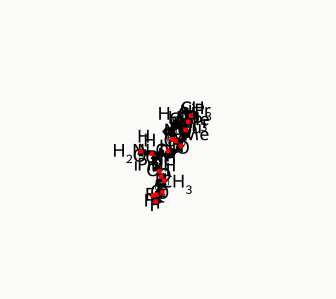 CC[C@H](C)[C@@H]([C@@H](CC(=O)N1CCC[C@H]1[C@H](OC)[C@@H](C)C(=O)N[C@@H](Cc1ccccc1)C(=O)NCc1ccc(NC(=O)[C@H](CCCCNC(N)=O)NC(=O)[C@@H](NC(=O)CCC(=O)N2CC[C@@H](C(=O)Oc3c(F)c(F)c(F)c(F)c3F)C[C@H]2C)C(C)C)cc1)OC)N(C)C(=O)[C@@H](NC(=O)[C@H](C(C)C)N(C)C)C(C)C